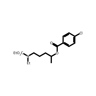 CCOC(=O)N(CC)CCCC(C)OC(=O)c1ccc(Cl)cc1